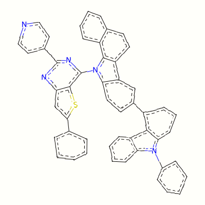 c1ccc(-c2cc3nc(-c4ccncc4)nc(-n4c5ccc(-c6cccc7c6c6ccccc6n7-c6ccccc6)cc5c5ccc6ccccc6c54)c3s2)cc1